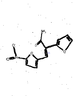 NC(=O)/C(=C\c1ccc([N+](=O)[O-])o1)c1ccco1